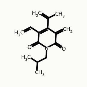 C=CC1=C(C(=C)C)C(=C)C(=O)N(CC(C)C)C1=O